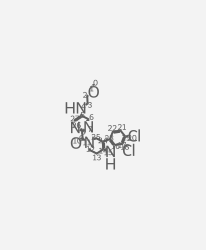 COCCNc1cnc(C(=O)N2CCc3[nH]c4c(Cl)c(Cl)ccc4c3C2)nc1